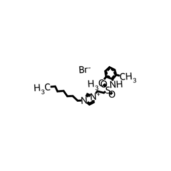 CCCCCCCn1cc[n+](CCS(=O)(=O)Nc2c(C)cccc2C)c1.[Br-]